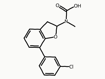 CN(C(=O)O)C1Cc2cccc(-c3cccc(Cl)c3)c2O1